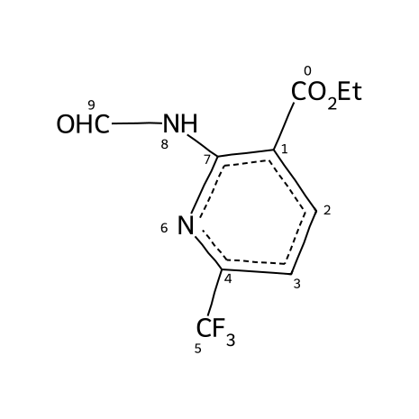 CCOC(=O)c1ccc(C(F)(F)F)nc1NC=O